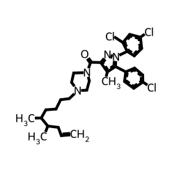 C=CCC(C)C(C)CCCCN1CCN(C(=O)c2nn(-c3ccc(Cl)cc3Cl)c(-c3ccc(Cl)cc3)c2C)CC1